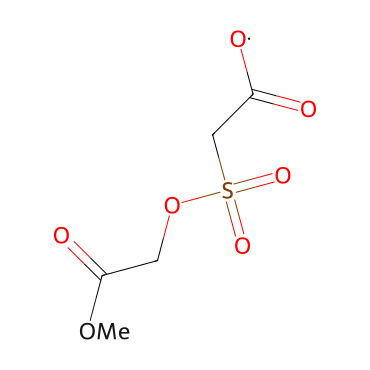 COC(=O)COS(=O)(=O)CC([O])=O